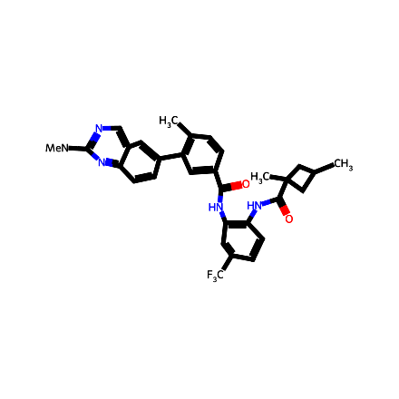 CNc1ncc2cc(-c3cc(C(=O)Nc4cc(C(F)(F)F)ccc4NC(=O)C4(C)CC(C)C4)ccc3C)ccc2n1